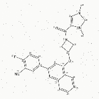 CN1C=C(C(=O)N2CC(Oc3cc(-c4ccc(F)c(C#N)c4)cc4ccncc34)C2)N(C)C1